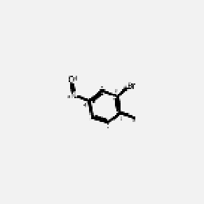 Cc1ccc(N=O)cc1Br